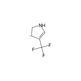 FC(F)(F)C1=CNC[C]1